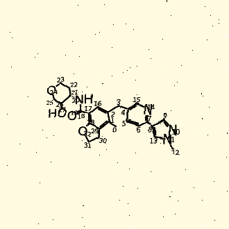 Cc1c(Cc2ccc(-c3cnn(C)c3)nc2)cc(C(=O)N[C@H]2CCOC[C@@H]2O)c2c1CCO2